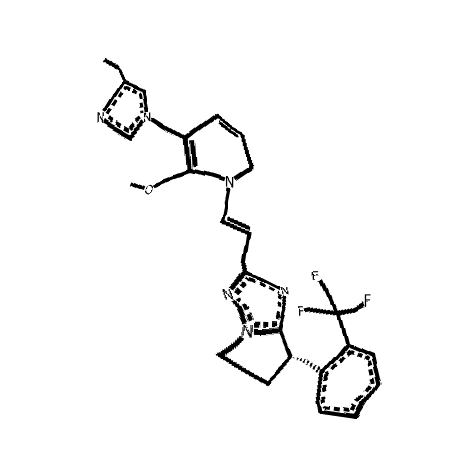 COC1=C(n2cnc(C)c2)C=CCN1/C=C/c1nc2n(n1)CC[C@H]2c1ccccc1C(F)(F)F